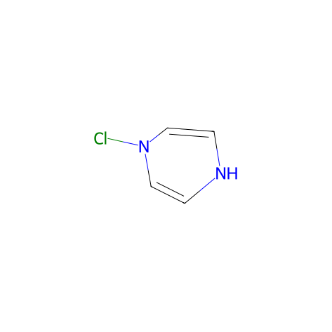 ClN1C=CNC=C1